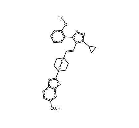 O=C(O)c1ccc2nc(C34CCC(C=Cc5c(-c6ccccc6OC(F)(F)F)noc5C5CC5)(CC3)CC4)sc2c1